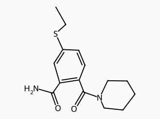 CCSc1ccc(C(=O)N2CCCCC2)c(C(N)=O)c1